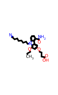 CCCOc1cc(OCCCC(=O)O)cc2c3c(C(N)=O)cccc3n(CCCCCCCC#N)c12